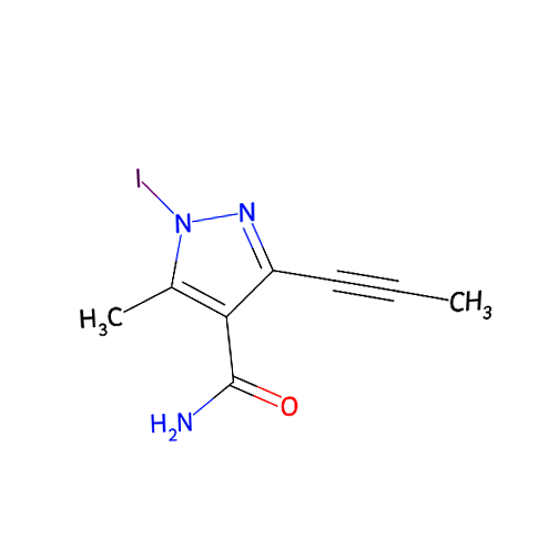 CC#Cc1nn(I)c(C)c1C(N)=O